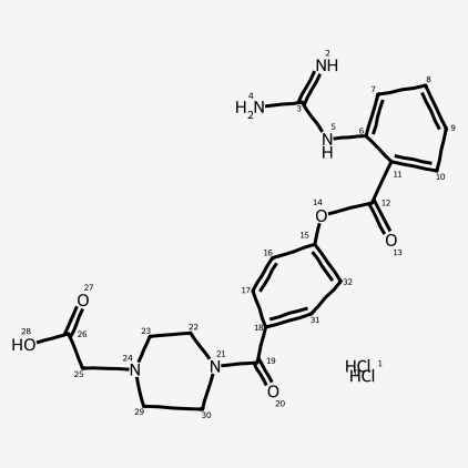 Cl.Cl.N=C(N)Nc1ccccc1C(=O)Oc1ccc(C(=O)N2CCN(CC(=O)O)CC2)cc1